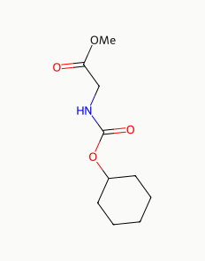 COC(=O)CNC(=O)OC1CCCCC1